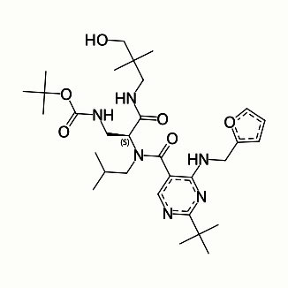 CC(C)CN(C(=O)c1cnc(C(C)(C)C)nc1NCc1ccco1)[C@@H](CNC(=O)OC(C)(C)C)C(=O)NCC(C)(C)CO